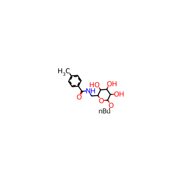 CCCCOC1OC(CNC(=O)c2ccc(C)cc2)C(O)C(O)C1O